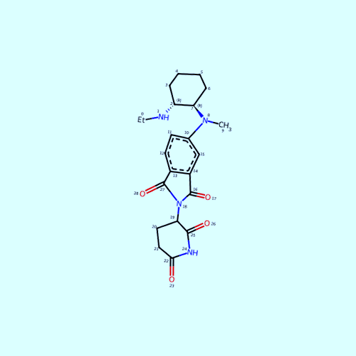 CCN[C@@H]1CCCC[C@H]1N(C)c1ccc2c(c1)C(=O)N(C1CCC(=O)NC1=O)C2=O